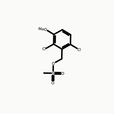 COc1ccc(Cl)c(COS(C)(=O)=O)c1Cl